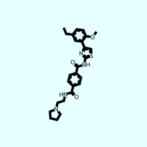 CCc1ccc(OC)c(-c2csc(NC(=O)c3ccc(C(=O)NCCN4CCCC4)cc3)n2)c1